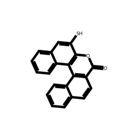 O=c1oc2c(S)cc3ccccc3c2c2c1ccc1ccccc12